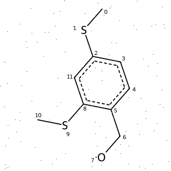 CSc1ccc(C[O])c(SC)c1